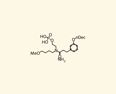 CCCCCCCCCCOc1cccc(CCC(=O)N(CCCCOC)CCOP(=O)(O)O)c1.N